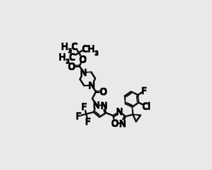 CC(C)(C)OC(=O)N1CCN(C(=O)Cn2nc(-c3nc(C4(c5cccc(F)c5Cl)CC4)no3)cc2C(F)(F)F)CC1